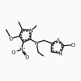 CCN(Cc1cnc(Cl)s1)c1c([N+](=O)[O-])c(OC)c(C)n1C